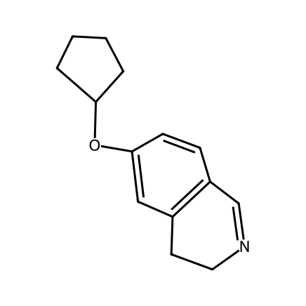 C1=NCCc2cc(OC3CCCC3)ccc21